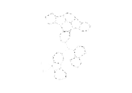 CC1(C)c2ccccc2-c2cc(N(c3ccc4c(c3)n3c5ccccc5c5ccc6c7ccccc7n4c6c53)c3cccc4ccccc34)ccc21